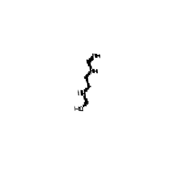 N=CNCCNCO